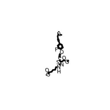 COC(=O)CCCCNc1nc(C(=O)OC)c(CCCOc2ccc(C#CCN(C)C)cc2F)s1